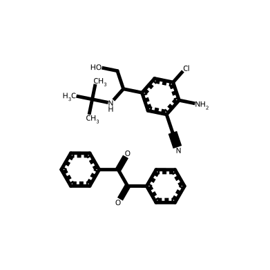 CC(C)(C)NC(CO)c1cc(Cl)c(N)c(C#N)c1.O=C(C(=O)c1ccccc1)c1ccccc1